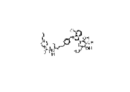 CCCN1CCN(C(=O)C(C)(C)NC(=O)CCCc2ccc(Cn3cc([C@@H]4O[C@H](CO)[C@@H](O)[C@H](O)[C@H]4O)c4cccc(Cl)c43)cc2)CC1